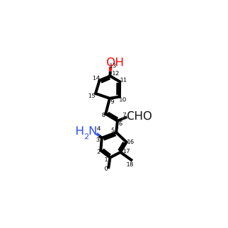 Cc1cc(N)c(/C(C=O)=C/C2C=CC(O)=CC2)cc1C